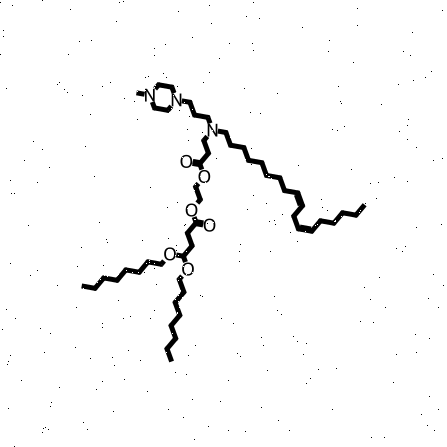 CCCCC/C=C\C/C=C\CCCCCCCCN(CCCN1CCN(C)CC1)CCC(=O)OCCOC(=O)CCC(OCCCCCCCC)OCCCCCCCC